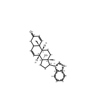 C[C@]12C=CC(=O)CC1C=C[C@@H]1[C@H]2CC[C@]2(C)C(n3cnc4ccccc43)CC[C@@H]12